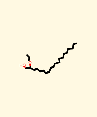 CCCCCCCCCC/C=C/C=C\C=C\C=C\C(=C\O)OCCC